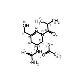 CC(=O)N[C@@H]1[C@@H](NC(=N)N)CC(CO)=NN1C(=O)C(C)C